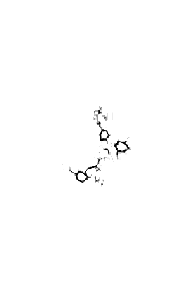 CN=CN(N)c1ccc(Cl)cc1/C=C/C(=O)N[C@@H](Cc1ccc(F)cc1)C(=O)Nc1ccc(-c2nnn[nH]2)cc1